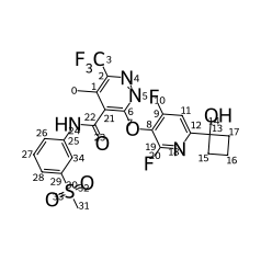 Cc1c(C(F)(F)F)nnc(Oc2c(F)cc(C3(O)CCC3)nc2F)c1C(=O)Nc1cccc(S(C)(=O)=O)c1